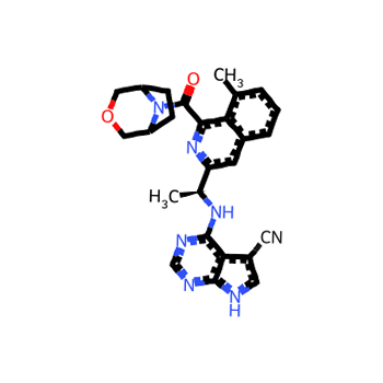 Cc1cccc2cc([C@H](C)Nc3ncnc4[nH]cc(C#N)c34)nc(C(=O)N3C4CCC3COC4)c12